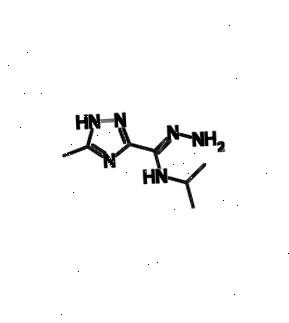 Cc1nc(/C(=N/N)NC(C)C)n[nH]1